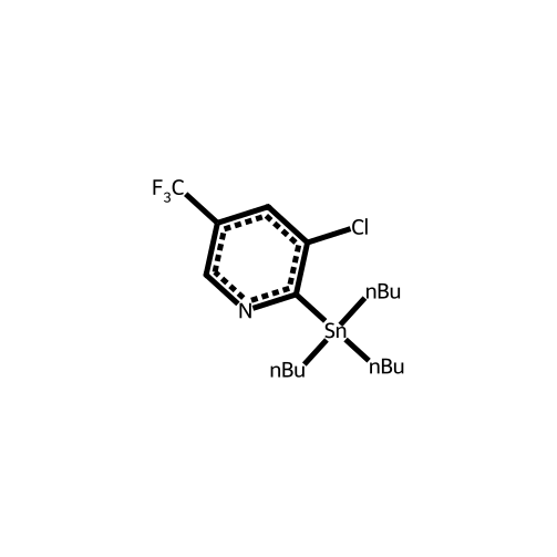 CCC[CH2][Sn]([CH2]CCC)([CH2]CCC)[c]1ncc(C(F)(F)F)cc1Cl